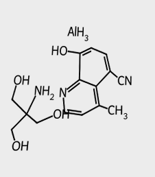 Cc1ccnc2c(O)ccc(C#N)c12.NC(CO)(CO)CO.[AlH3]